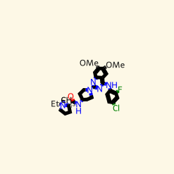 CC[N+]1(C)CCC[C@H]1C(=O)NC1CCN(c2nc(Nc3ccc(Cl)cc3F)c3cc(OC)c(OC)cc3n2)CC1